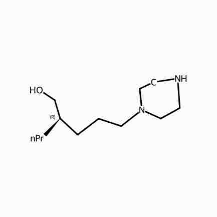 CCC[C@@H](CO)CCCN1CCNCC1